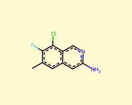 Cc1cc2cc(N)ncc2c(Cl)c1F